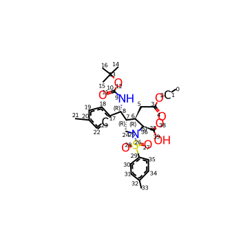 CCOC(=O)C[C@@H]1[C@@H]([C@@H](NC(=O)OC(C)(C)C)c2ccc(C)cc2)CN(S(=O)(=O)c2ccc(C)cc2)[C@@H]1C(=O)O